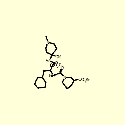 CCOC(=O)/N=C(\NC(CC1CCCCC1)C(=O)NC1(C#N)CCN(C)CC1)N1CCCC(C(=O)OCC)C1